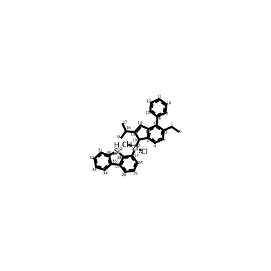 CCc1ccc2c(c1-c1ccccc1)C=C(C(C)C)[CH]2[Zr]([Cl])([Cl])[c]1cccc2c1[SiH2]c1ccccc1-2